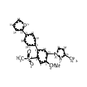 COc1cc(S(C)(=O)=O)c(-c2ccc(-c3ccco3)cc2)cc1-n1ccc(C(F)(F)F)n1